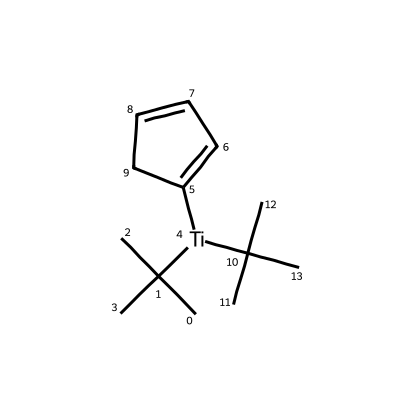 C[C](C)(C)[Ti]([C]1=CC=CC1)[C](C)(C)C